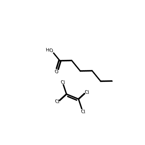 CCCCCC(=O)O.ClC(Cl)=C(Cl)Cl